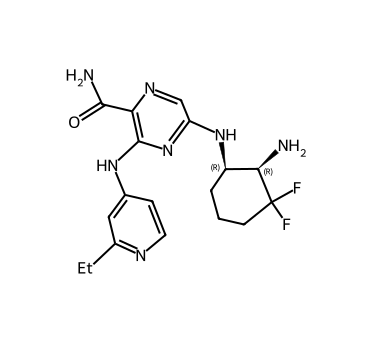 CCc1cc(Nc2nc(N[C@@H]3CCCC(F)(F)[C@@H]3N)cnc2C(N)=O)ccn1